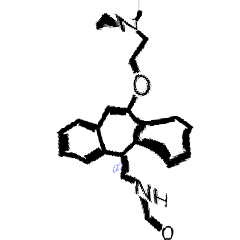 CN(C)CCOC1=Cc2ccccc2/C(=C/NC=O)c2ccccc21